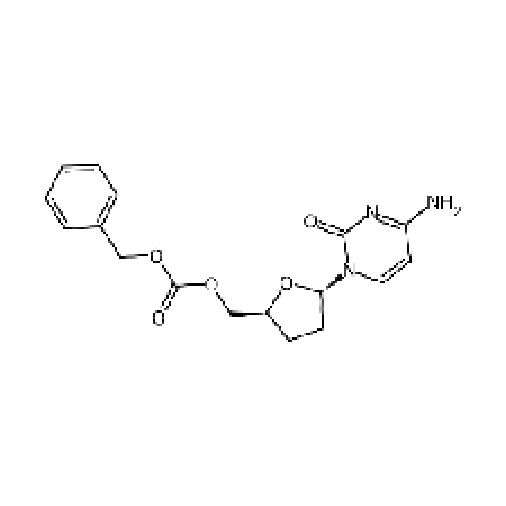 Nc1ccn([C@H]2CC[C@@H](COC(=O)OCc3ccccc3)O2)c(=O)n1